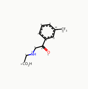 O=C(O)CNCC(=O)c1cccc(C(F)(F)F)c1